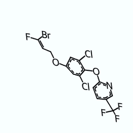 FC(Br)=CCOc1cc(Cl)c(Oc2ccc(C(F)(F)F)cn2)c(Cl)c1